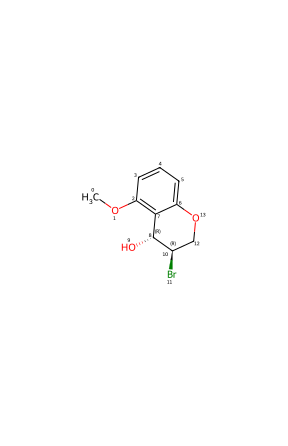 COc1cccc2c1[C@@H](O)[C@H](Br)CO2